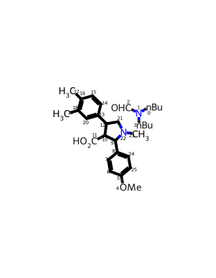 CCCCN(C=O)CCCC.COc1ccc(C2C(C(=O)O)C(c3ccc(C)c(C)c3)CN2C)cc1